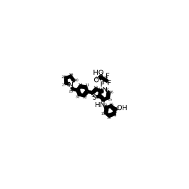 O=C(O)C(F)(F)F.Oc1cccc(Nc2ccnc3cc(-c4ccc(CN5CCCC5)cc4)sc23)c1